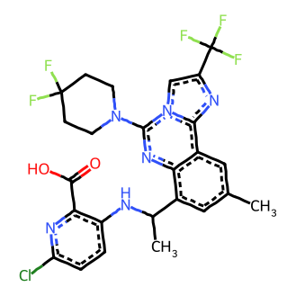 Cc1cc(C(C)Nc2ccc(Cl)nc2C(=O)O)c2nc(N3CCC(F)(F)CC3)n3cc(C(F)(F)F)nc3c2c1